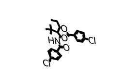 CCC(OC(=O)c1ccc(Cl)cc1)C(CNC(=O)c1ccc(Cl)cc1)C(C)(C)C